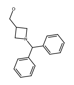 [O]CC1CN(C(c2ccccc2)c2ccccc2)C1